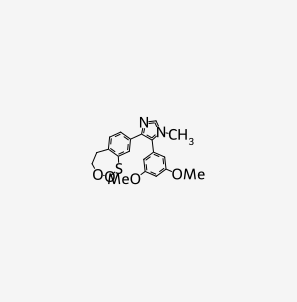 COc1cc(OC)cc(-c2c(-c3ccc4c(c3)SOOCC4)ncn2C)c1